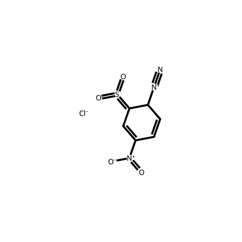 N#[N+]C1C=CC([N+](=O)[O-])=CC1=S(=O)=O.[Cl-]